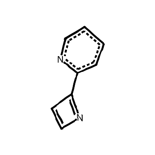 C1=CC(c2ccccn2)=N1